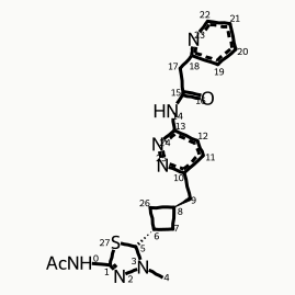 CC(=O)NC1=NN(C)C([C@H]2C[C@H](Cc3ccc(NC(=O)Cc4ccccn4)nn3)C2)S1